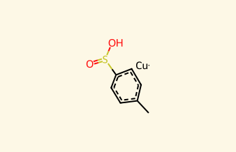 Cc1ccc(S(=O)O)cc1.[Cu]